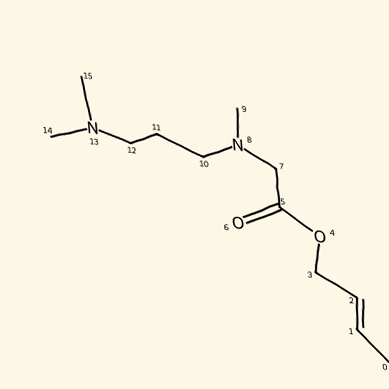 CC=CCOC(=O)CN(C)CCCN(C)C